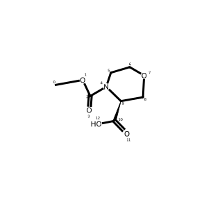 COC(=O)N1CCOC[C@H]1C(=O)O